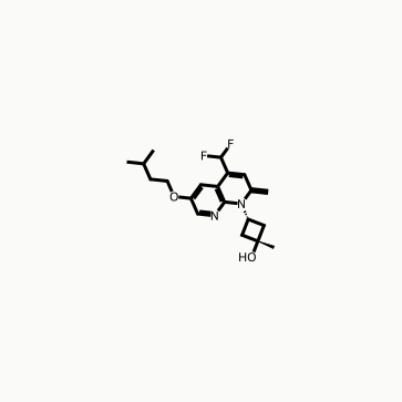 C=C1C=C(C(F)F)c2cc(OCCC(C)C)cnc2N1[C@H]1C[C@@](C)(O)C1